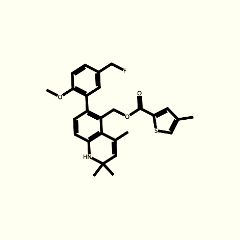 COc1ccc(CF)cc1-c1ccc2c(c1COC(=O)c1cc(C)cs1)C(C)=CC(C)(C)N2